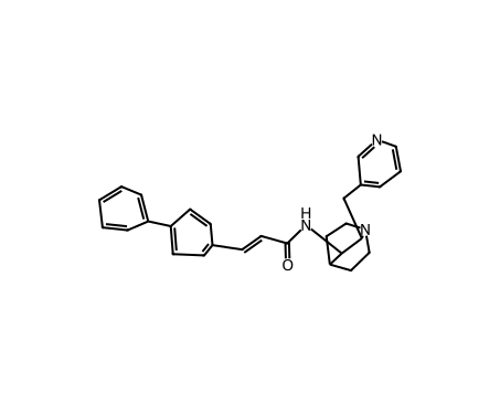 O=C(C=Cc1ccc(-c2ccccc2)cc1)NC1C2CCN(CC2)C1Cc1cccnc1